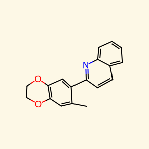 Cc1cc2c(cc1-c1ccc3ccccc3n1)OCCO2